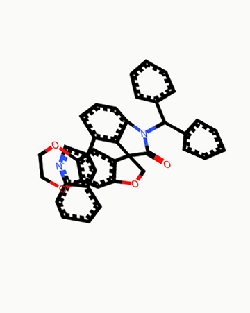 O=C1N(C(c2ccccc2)c2ccccc2)c2cccc(-c3cnc4ccccc4c3)c2C12COc1cc3c(cc12)OCCO3